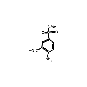 CNS(=O)(=O)c1ccc(N)c(C(=O)O)c1